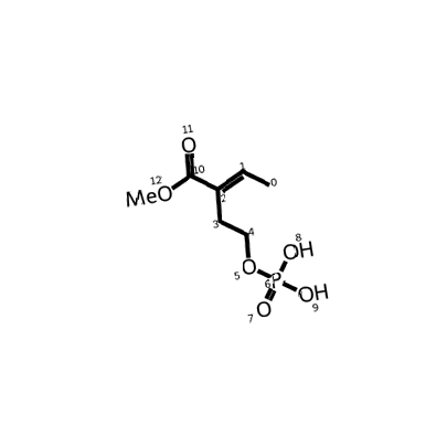 CC=C(CCOP(=O)(O)O)C(=O)OC